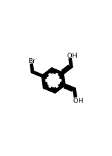 OC=c1ccc(CBr)cc1=CO